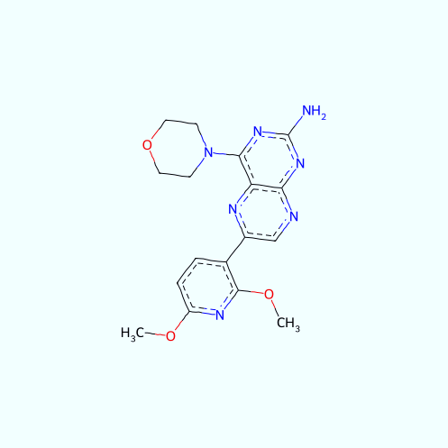 COc1ccc(-c2cnc3nc(N)nc(N4CCOCC4)c3n2)c(OC)n1